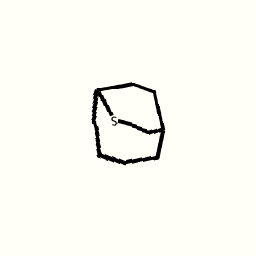 C1CCC2CCC(C1)CS2